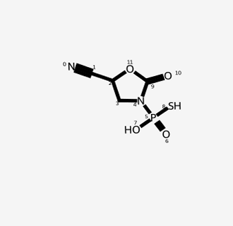 N#CC1CN(P(=O)(O)S)C(=O)O1